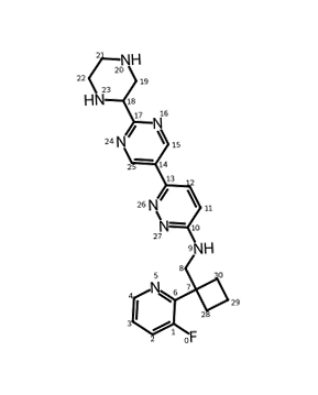 Fc1cccnc1C1(CNc2ccc(-c3cnc(C4CNCCN4)nc3)nn2)CCC1